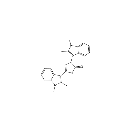 Cc1c(C2=CC(c3c(C)n(C)c4ccccc34)C(=O)O2)c2ccccc2n1C